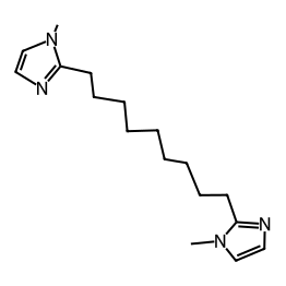 Cn1ccnc1CCCCCCCCCc1nccn1C